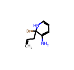 C=CCC1(Br)NC=CC=C1N